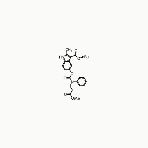 CCCCOC(=O)c1c(C)[nH]c2ccc(OC(=O)N(CCC(=O)OC)c3ccccc3)cc12